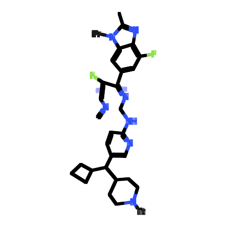 C=N/C=C(F)\C(=N/CNc1ccc(C(C2CCC2)C2CCN(CC)CC2)cn1)c1cc(F)c2nc(C)n(C(C)C)c2c1